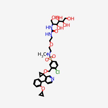 CN(CCOCCNC(=O)NC(CO)C(O)C(O)C(O)CO)S(=O)(=O)c1ccc(Cl)c(COC2(c3cnccc3-c3ccccc3OC3CC3)CC2)c1